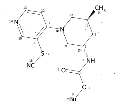 C[C@H]1C[C@H](NC(=O)OC(C)(C)C)CN(c2ccncc2SC#N)C1